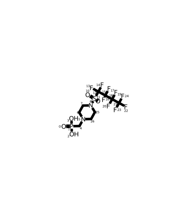 O=P(O)(O)CN1CCN(S(=O)(=O)C(F)(F)C(F)(F)C(F)(F)C(F)(F)F)CC1